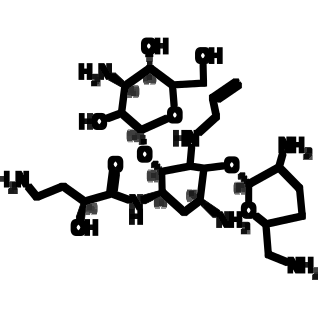 C=CCNC1C(O[C@H]2OC(CN)CCC2N)[C@@H](N)C[C@@H](NC(=O)[C@@H](O)CCN)[C@@H]1O[C@H]1OC(CO)[C@@H](O)[C@H](N)C1O